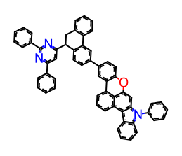 c1ccc(-c2cc(C3Cc4ccccc4-c4cc(-c5ccc6c(c5)-c5cccc7c5c(cc5c7c7ccccc7n5-c5ccccc5)O6)ccc43)nc(-c3ccccc3)n2)cc1